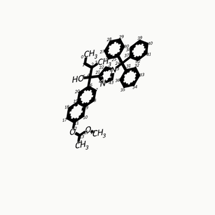 CCC(C)C(O)(c1ccc2cc(OC(C)OC)ccc2c1)c1cn(C(c2ccccc2)(c2ccccc2)c2ccccc2)cn1